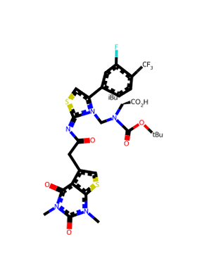 CC[C@H](C)[C@@H](C(=O)O)N(Cn1c(-c2ccc(C(F)(F)F)c(F)c2)csc1=NC(=O)Cc1csc2c1c(=O)n(C)c(=O)n2C)C(=O)OC(C)(C)C